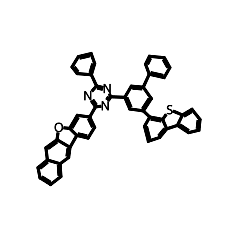 c1ccc(-c2cc(-c3nc(-c4ccccc4)nc(-c4ccc5c(c4)oc4cc6ccccc6cc45)n3)cc(-c3cccc4c3sc3ccccc34)c2)cc1